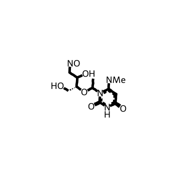 CNc1cc(=O)[nH]c(=O)n1C(C)O[C@H](CO)C(O)CN=O